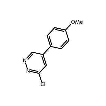 COc1ccc(-c2cnnc(Cl)c2)cc1